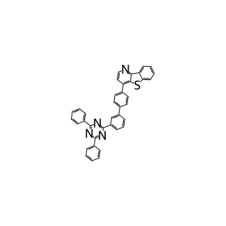 c1ccc(-c2nc(-c3ccccc3)nc(-c3cccc(-c4ccc(-c5ccnc6c5sc5ccccc56)cc4)c3)n2)cc1